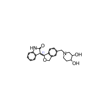 O=C1Nc2ccccc2/C1=C1\OCc2cc(CN3CCC(O)C(O)C3)ccc21